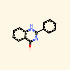 O=c1nc(-c2cc[c]cc2)[nH]c2ccccc12